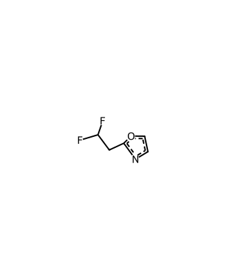 FC(F)Cc1ncco1